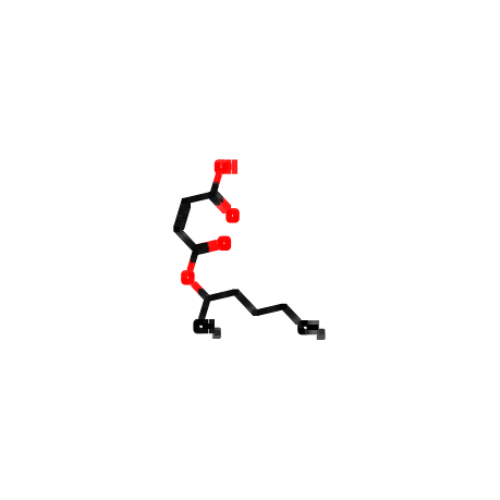 CCCCC(C)OC(=O)/C=C\C(=O)O